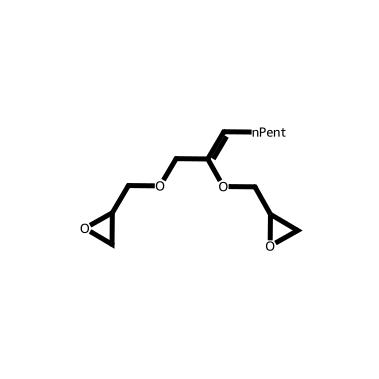 CCCCCC=C(COCC1CO1)OCC1CO1